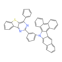 c1ccc(-c2nc(-c3cccc(-n4c5cc6ccccc6cc5c5c6ccccc6c6ccccc6c54)c3)nc3c2sc2ccccc23)cc1